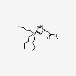 CCC[CH2][Sn]([CH2]CCC)([CH2]CCC)[c]1cn(CC(=O)OC)nn1